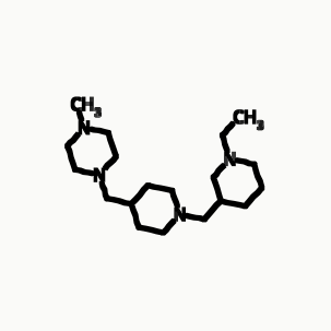 CCN1CCCC(CN2CCC(CN3CCN(C)CC3)CC2)C1